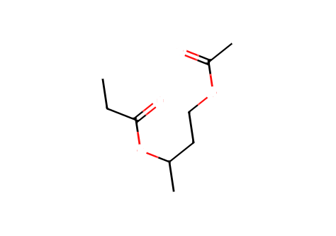 [CH2]C(CCOC(C)=O)OC(=O)CC